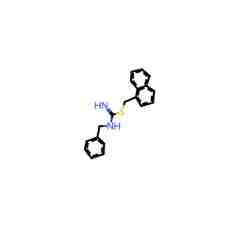 N=C(NCc1ccccc1)SCc1cccc2ccccc12